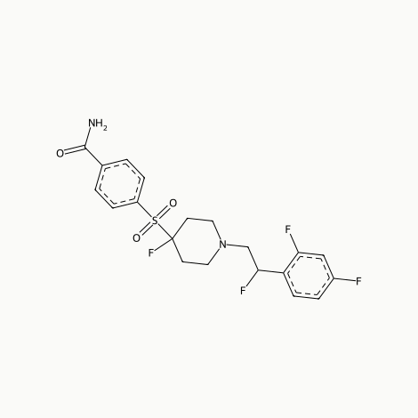 NC(=O)c1ccc(S(=O)(=O)C2(F)CCN(CC(F)c3ccc(F)cc3F)CC2)cc1